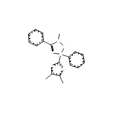 Cc1nc([N+]2(c3ccccc3)N=C(c3ccccc3)N(Br)N2)sc1C